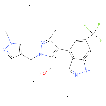 Cc1nn(Cc2cnn(C)c2)c(CO)c1-c1cc(C(F)(F)F)cc2[nH]ncc12